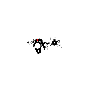 Cc1cc(OCCCc2c(C(=O)O)n3c4c(c(F)ccc24)-c2c(C)nn(C)c2COCc2ccccc2C3)cc(C)c1Cl